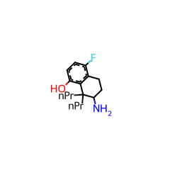 CCCC1(CCC)c2c(O)ccc(F)c2CCC1N